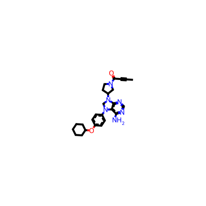 CC#CC(=O)N1CCC(N2CN(c3ccc(OC4CCCCC4)cc3)c3c(N)ncnc32)C1